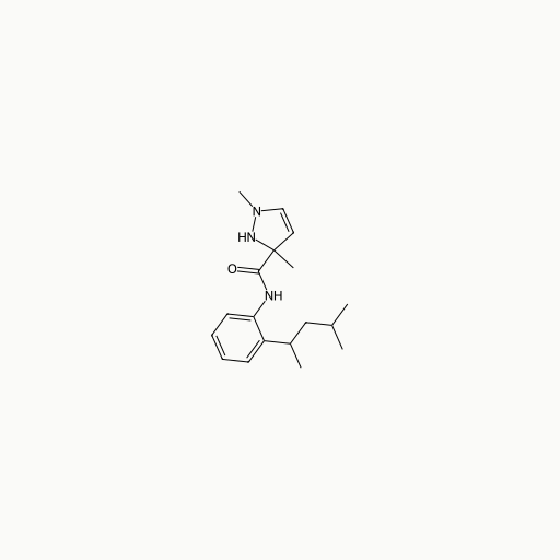 CC(C)CC(C)c1ccccc1NC(=O)C1(C)C=CN(C)N1